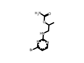 CC(CNc1nccc(Br)n1)OC(N)=O